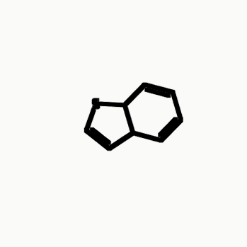 C1=CC2C=CSC2C=C1